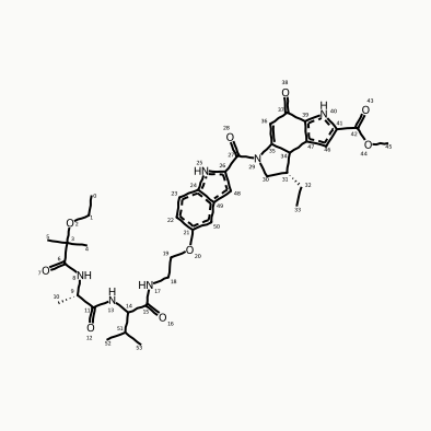 CCOC(C)(C)C(=O)N[C@@H](C)C(=O)NC(C(=O)NCCOc1ccc2[nH]c(C(=O)N3C[C@@H](CC)C4C3=CC(=O)c3[nH]c(C(=O)OC)cc34)cc2c1)C(C)C